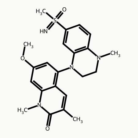 COc1cc(N2CCN(C)c3ccc(S(C)(=N)=O)cc32)c2cc(C)c(=O)n(C)c2c1